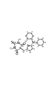 Cc1ccccc1N(c1ccccc1)c1ccc(C=C2C(=O)N(C)C(=S)N(C)C2=O)s1